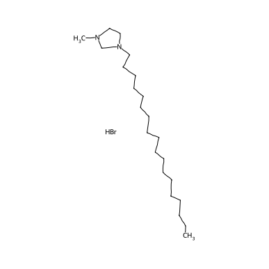 Br.CCCCCCCCCCCCCCCCCCN1CCN(C)C1